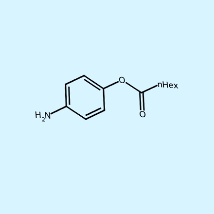 CCCCCCC(=O)Oc1ccc(N)cc1